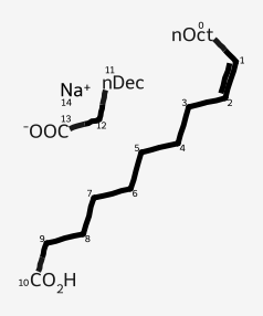 CCCCCCCC/C=C\CCCCCCCC(=O)O.CCCCCCCCCCCC(=O)[O-].[Na+]